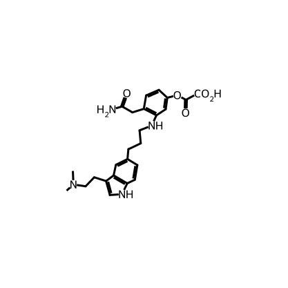 CN(C)CCc1c[nH]c2ccc(CCCNc3cc(OC(=O)C(=O)O)ccc3CC(N)=O)cc12